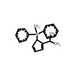 CC(C)C1=CC=C[C]1[Si](C)(c1ccccc1)c1ccccc1